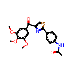 COc1cc(C(=O)c2csc(-c3ccc(NC(C)=O)cc3)n2)cc(OC)c1OC